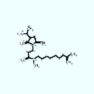 C=C(C)CCCCCCCN(C)C(=C)CCN1C(=C)CC(C(C)C)C1=C